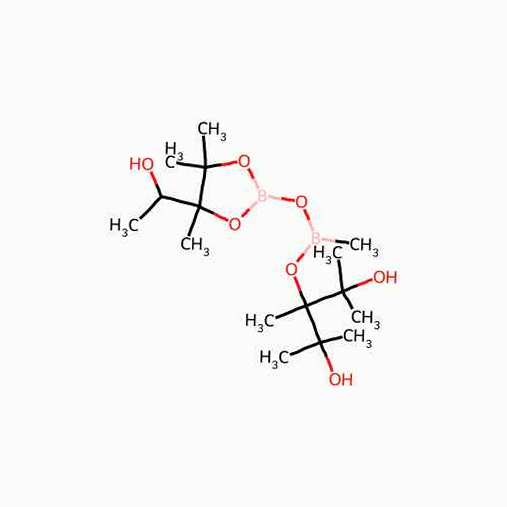 CB(OB1OC(C)(C)C(C)(C(C)O)O1)OC(C)(C(C)(C)O)C(C)(C)O